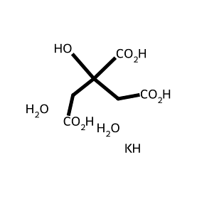 O.O.O=C(O)CC(O)(CC(=O)O)C(=O)O.[KH]